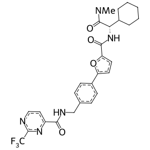 CNC(=O)[C@@H](NC(=O)c1ccc(-c2ccc(CNC(=O)c3ccnc(C(F)(F)F)n3)cc2)o1)C1CCCCC1